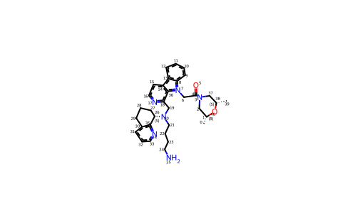 C[C@@H]1CN(C(=O)Cn2c3ccccc3c3ccnc(CN(CCCCN)[C@H]4CCCc5cccnc54)c32)C[C@H](C)O1